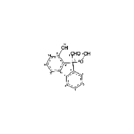 O=CC(OO)(c1ccccc1)c1ccccc1O